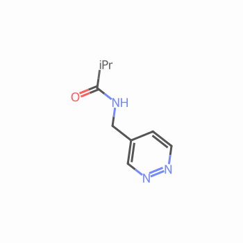 CC(C)C(=O)NCc1ccnnc1